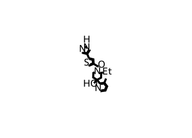 CCC1CC(O)(c2ncccc2C)CCN1C(=O)c1csc(-c2cn[nH]c2)c1